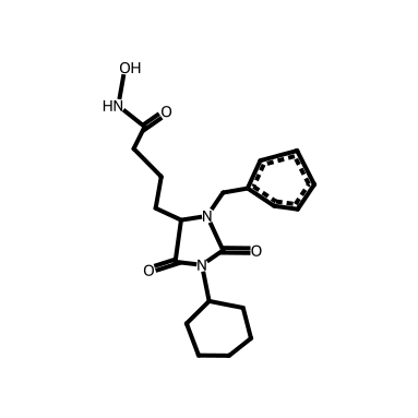 O=C(CCCC1C(=O)N(C2CCCCC2)C(=O)N1Cc1ccccc1)NO